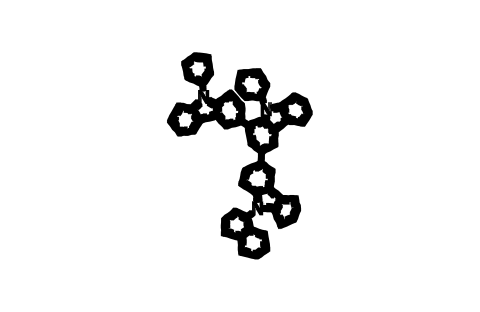 c1ccc(-n2c3ccccc3c3cc(-c4cc(-c5ccc6c(c5)c5ccccc5n6-c5cccc6ccccc56)cc5c6ccccc6n(-c6ccccc6)c45)ccc32)cc1